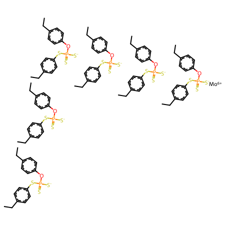 CCc1ccc(OP(=S)([S-])Sc2ccc(CC)cc2)cc1.CCc1ccc(OP(=S)([S-])Sc2ccc(CC)cc2)cc1.CCc1ccc(OP(=S)([S-])Sc2ccc(CC)cc2)cc1.CCc1ccc(OP(=S)([S-])Sc2ccc(CC)cc2)cc1.CCc1ccc(OP(=S)([S-])Sc2ccc(CC)cc2)cc1.CCc1ccc(OP(=S)([S-])Sc2ccc(CC)cc2)cc1.[Mo+6]